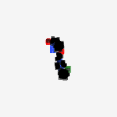 O=C1CCc2ccc(OCCCN3CCN(c4ccccc4Cl)CC3)cc2N1